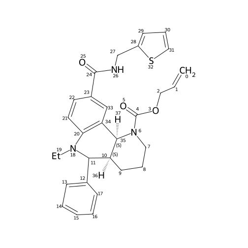 C=CCOC(=O)N1CCC[C@H]2C(c3ccccc3)N(CC)c3ccc(C(=O)NCc4cccs4)cc3[C@H]21